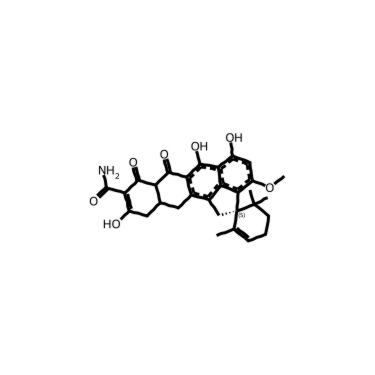 COc1cc(O)c2c(O)c3c(c4c2c1[C@]1(C4)C(C)=CCCC1(C)C)CC1CC(O)=C(C(N)=O)C(=O)C1C3=O